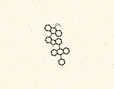 Cc1c2ccccc2c(-c2cccc3sc4c(-c5c6ccccc6c(-c6ccccc6)c6ccccc56)cccc4c23)c2ccccc12